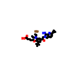 Br.CCN(CC)c1cc(C(=O)CN2Cc3ccc(C4CC4)nc3C2=N)cc(C(C)(C)C)c1OCCCCC(=O)O